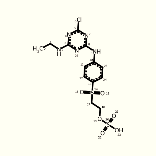 CCNc1nc(Cl)nc(Nc2ccc(S(=O)(=O)CCOS(=O)(=O)O)cc2)n1